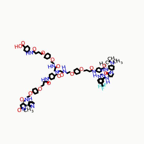 CC(C)N(C)[C@@H]1CC[C@H](N2CC[C@H](Nc3ncnc4ccc(C(F)(F)F)cc34)C2=O)[C@H](NC(=O)C2CCC(NC(=O)CCCOC3CCC(OCCNC(=O)CN(CC(=O)NCCOC4CCC(OCCCC(=O)NC5CCC(C(=O)O)CC5)CC4)C(=O)C4CCC(NC(=O)CCCOC5CCC(OCCNC(=O)[C@H]6CC(=O)N(C)[C@@H]6c6cccnc6)CC5)CC4)CC3)CC2)C1